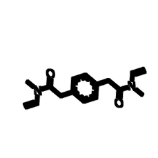 C=CN(C)C(=O)Cc1ccc(CC(=O)N(C)C=C)cc1